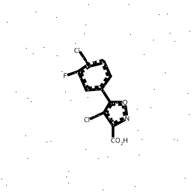 O=C(O)c1noc(-c2ccc(Cl)c(F)c2)c1Cl